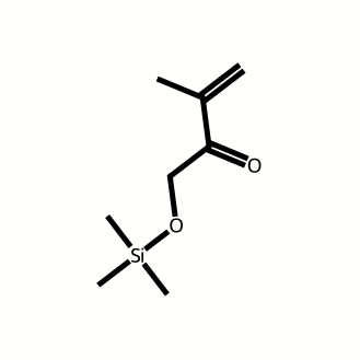 C=C(C)C(=O)CO[Si](C)(C)C